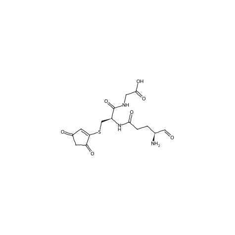 N[C@H](C=O)CCC(=O)N[C@@H](CSC1=CC(=O)CC1=O)C(=O)NCC(=O)O